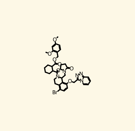 COc1ccc(COC(=O)C2CCCCC2C(=O)N2CCc3c(Br)ccc(OCc4nnc5ccccn45)c3C2CN2CCCC2=O)c(OC)c1